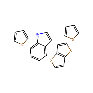 c1cc2sccc2s1.c1ccc2[nH]ccc2c1.c1ccsc1.c1ccsc1